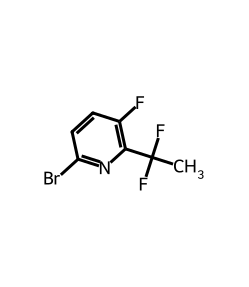 CC(F)(F)c1nc(Br)ccc1F